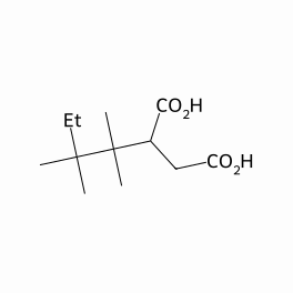 CCC(C)(C)C(C)(C)C(CC(=O)O)C(=O)O